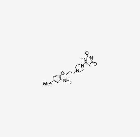 CSc1ccc(OCCCN2CCN(c3cc(=O)n(C)c(=O)n3C)CC2)c(N)c1